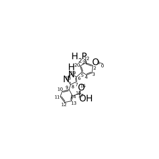 COc1ccc(-c2cc(-c3ccccc3C(=O)O)n[nH]2)cc1P